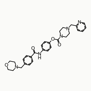 O=C(Nc1ccc(OC(=O)N2CCN(Cc3ccccn3)CC2)cc1)c1ccc(CN2CCOCC2)cc1